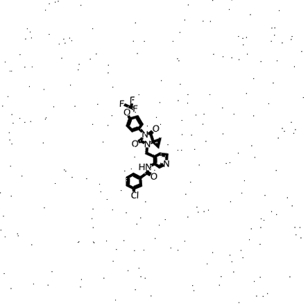 O=C(Nc1cnccc1CN1C(=O)N(c2ccc(OC(F)(F)F)cc2)C(=O)C12CC2)c1cccc(Cl)c1